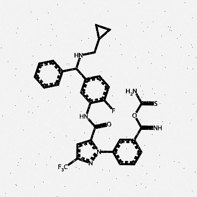 N=C(OC(N)=S)c1cccc(-n2nc(C(F)(F)F)cc2C(=O)Nc2cc(C(NCC3CC3)c3ccccc3)ccc2F)c1